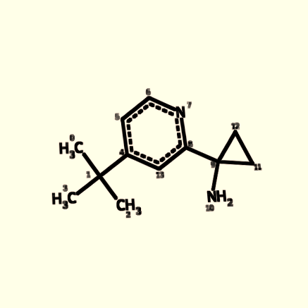 CC(C)(C)c1ccnc(C2(N)CC2)c1